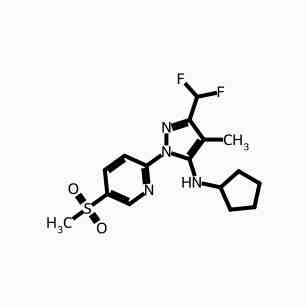 Cc1c(C(F)F)nn(-c2ccc(S(C)(=O)=O)cn2)c1NC1CCCC1